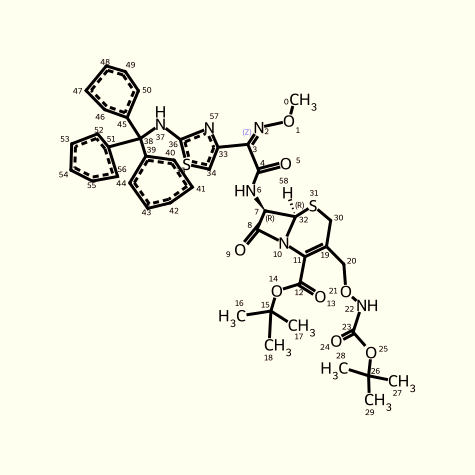 CO/N=C(\C(=O)N[C@@H]1C(=O)N2C(C(=O)OC(C)(C)C)=C(CONC(=O)OC(C)(C)C)CS[C@H]12)c1csc(NC(c2ccccc2)(c2ccccc2)c2ccccc2)n1